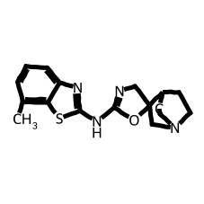 Cc1cccc2nc(NC3=NCC4(CN5CCC4CC5)O3)sc12